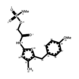 CNS(=O)(=O)OCC(=O)Nc1nc(C)c(Cc2ccc(OC)cc2)s1